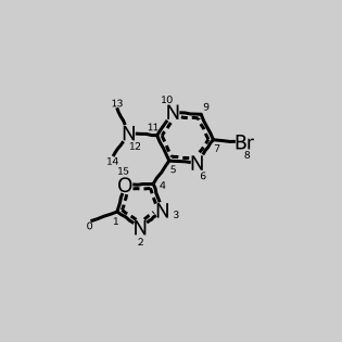 Cc1nnc(-c2nc(Br)cnc2N(C)C)o1